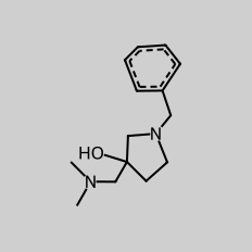 CN(C)CC1(O)CCN(Cc2ccccc2)C1